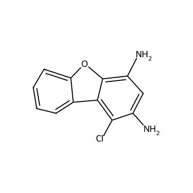 Nc1cc(N)c2oc3ccccc3c2c1Cl